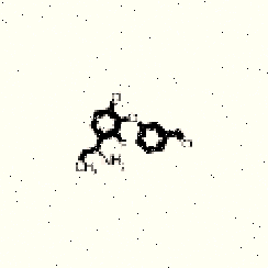 CC[C@H](N)c1ccc(Cl)c(Oc2cccc(C=O)c2)c1F